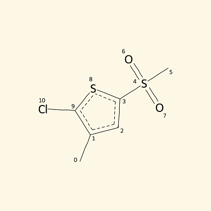 Cc1cc(S(C)(=O)=O)sc1Cl